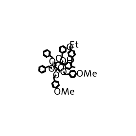 CCOc1ccc(Cc2cc(C3(O)OC(COCc4ccc(OC)cc4)(COCc4ccc(OC)cc4)[C@@H](OCc4ccccc4)[C@H](OCc4ccccc4)C3OCc3ccccc3)ccc2C)cc1